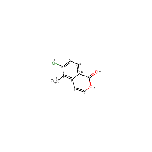 O=c1occc2c([N+](=O)[O-])c(Cl)ccc12